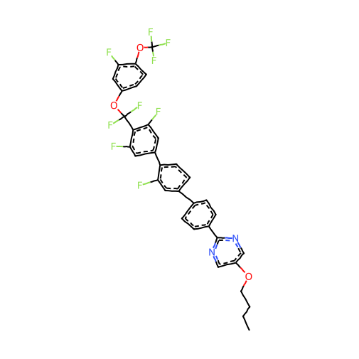 CCCCOc1cnc(-c2ccc(-c3ccc(-c4cc(F)c(C(F)(F)Oc5ccc(OC(F)(F)F)c(F)c5)c(F)c4)c(F)c3)cc2)nc1